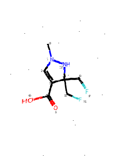 CN1C=C(C(=O)O)C(CF)(CF)N1